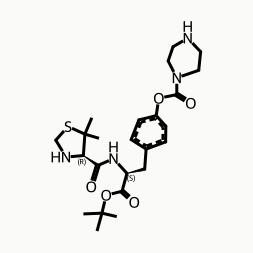 CC(C)(C)OC(=O)[C@H](Cc1ccc(OC(=O)N2CCNCC2)cc1)NC(=O)[C@H]1NCSC1(C)C